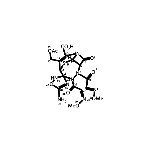 CON=CC(=O)N1C2C(=O)N3C(C(=O)O)=C(COC(C)=O)C(S[C@@H]23)C2(N=C(N)ON2)N1C(=O)C=NOC